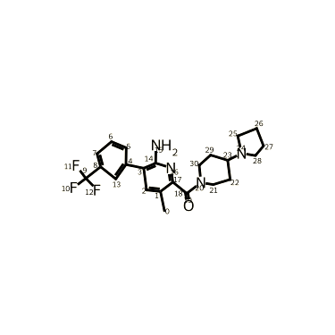 Cc1cc(-c2cccc(C(F)(F)F)c2)c(N)nc1C(=O)N1CCC(N2CCCC2)CC1